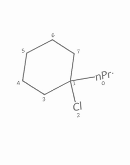 CC[CH]C1(Cl)CCCCC1